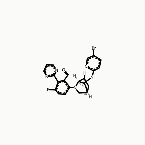 O=Cc1c(N2C[C@@H]3CC[C@H]2[C@H](Nc2ccc(Br)cn2)C3)ccc(F)c1-c1ncccn1